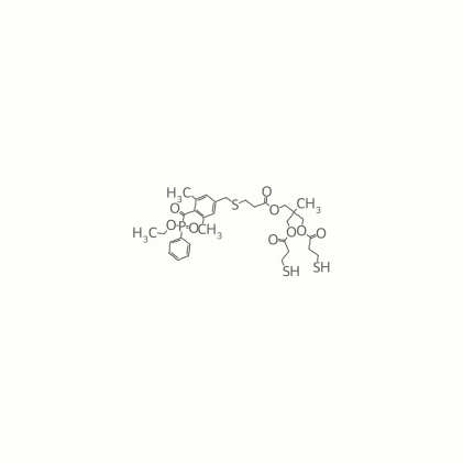 CCOP(=O)(C(=O)c1c(C)cc(CSCCC(=O)OCC(C)(COC(=O)CCS)COC(=O)CCS)cc1C)c1ccccc1